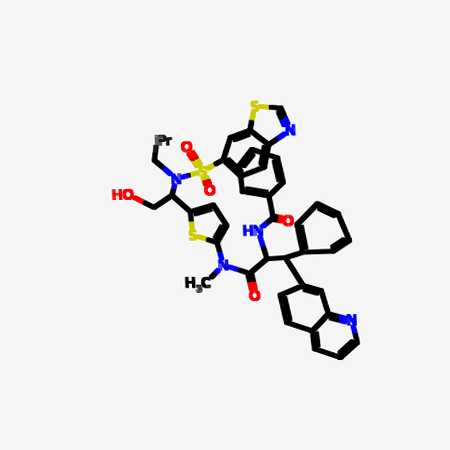 CC(C)CN(C(CO)c1ccc(N(C)C(=O)C(NC(=O)c2ccccc2)C(c2ccccc2)c2ccc3cccnc3c2)s1)S(=O)(=O)c1ccc2ncsc2c1